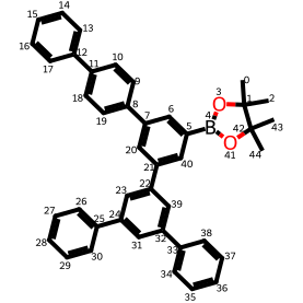 CC1(C)OB(c2cc(-c3ccc(-c4ccccc4)cc3)cc(-c3cc(-c4ccccc4)cc(-c4ccccc4)c3)c2)OC1(C)C